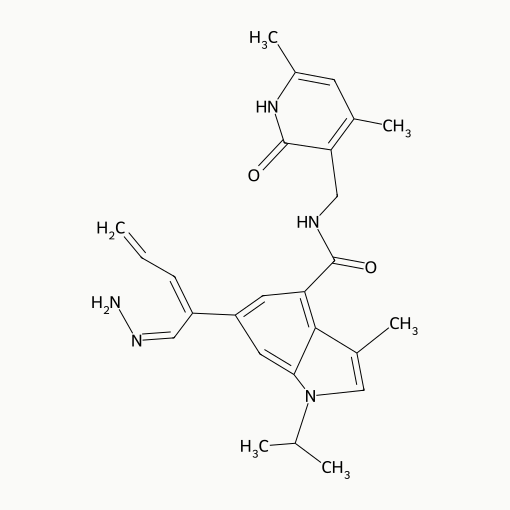 C=C/C=C(\C=N/N)c1cc(C(=O)NCc2c(C)cc(C)[nH]c2=O)c2c(C)cn(C(C)C)c2c1